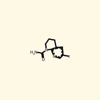 NC(=O)N1CCCc2cc(I)cnc21